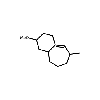 COC1CCC2=CC(C)CCCC2C1